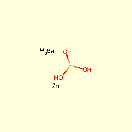 OP(O)O.[BaH2].[Zn]